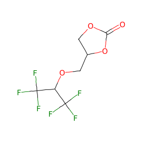 O=C1OCC(COC(C(F)(F)F)C(F)(F)F)O1